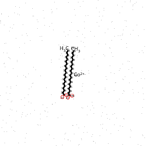 CCCCCCCCCCCCCCCCCCCCCC(=O)[O-].CCCCCCCCCCCCCCCCCCCCCC(=O)[O-].[Co+2]